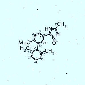 COc1ccc(-c2[nH]c(C)c[n+]2[O-])cc1-c1c(C)cccc1C